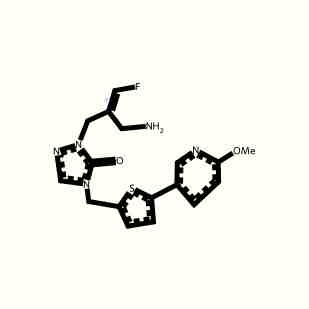 COc1ccc(-c2ccc(Cn3cnn(C/C(=C/F)CN)c3=O)s2)cn1